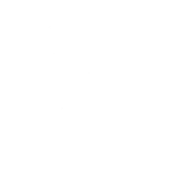 CCCC(c1ccc(Cl)cc1)c1ccc(Cl)cc1